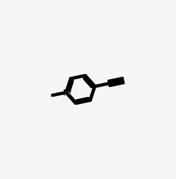 C#Cc1cc[n+](C)cc1